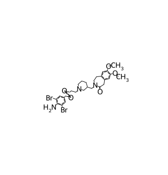 COc1cc2c(cc1OC)CC(=O)N(CC1CCCN(CCS(=O)(=O)c3cc(Br)c(N)c(Br)c3)C1)CC2